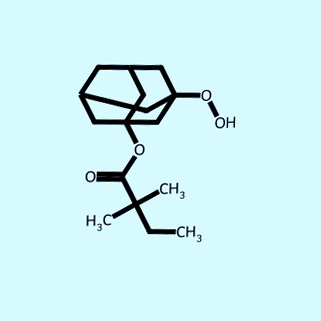 CCC(C)(C)C(=O)OC12CC3CC(CC(OO)(C3)C1)C2